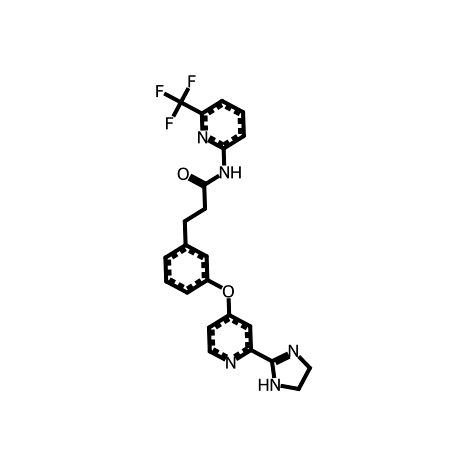 O=C(CCc1cccc(Oc2ccnc(C3=NCCN3)c2)c1)Nc1cccc(C(F)(F)F)n1